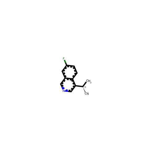 C[C@H](C#N)c1cncc2cc(F)ccc12